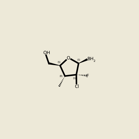 B[C@@H]1O[C@H](CO)[C@@H](C)[C@]1(F)Cl